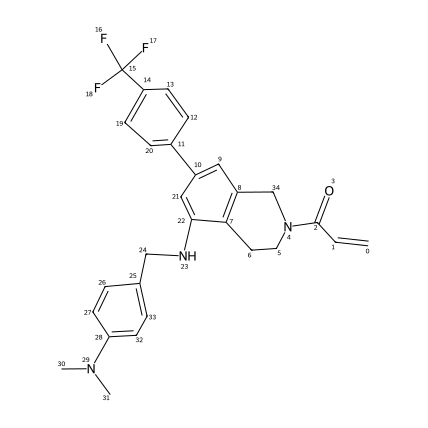 C=CC(=O)N1CCc2c(cc(-c3ccc(C(F)(F)F)cc3)cc2NCc2ccc(N(C)C)cc2)C1